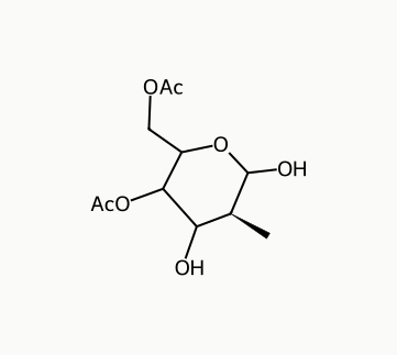 CC(=O)OCC1OC(O)[C@@H](C)C(O)C1OC(C)=O